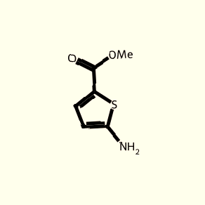 COC(=O)c1ccc(N)s1